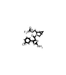 Nc1nc(C(=O)N2CC3CC3C2CNC(=O)C(F)(F)F)c(-c2cccc(Cl)c2)s1